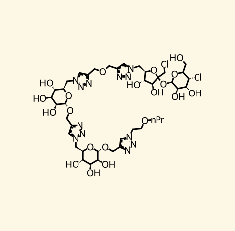 CCCOCCn1cc(CO[C@H]2O[C@H](Cn3cc(CO[C@H]4O[C@H](Cn5cc(COCc6cn(C[C@H]7OC(CCl)(O[C@H]8OC(CO)[C@H](Cl)[C@H](O)[C@H]8O)[C@@H](O)[C@@H]7O)nn6)nn5)[C@@H](O)[C@H](O)[C@@H]4O)nn3)[C@@H](O)[C@H](O)[C@@H]2O)nn1